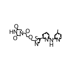 Cc1ccnc(Nc2cccc(-c3cnc(COCC(=O)N4CC(=O)NC(=O)C4)s3)n2)c1